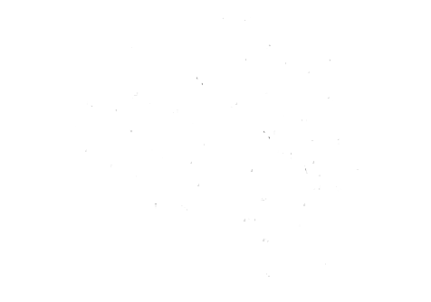 CC(C)(C)c1ccc(N(c2ccc3c(c2)N(c2ccccc2)c2ccccc2C3=C(c2ccccc2)c2ccccc2)c2ccc3c(c2)oc2ccccc23)c(-c2ccccc2)c1